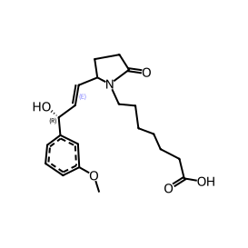 COc1cccc([C@H](O)/C=C/C2CCC(=O)N2CCCCCCC(=O)O)c1